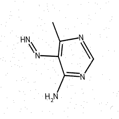 Cc1ncnc(N)c1N=N